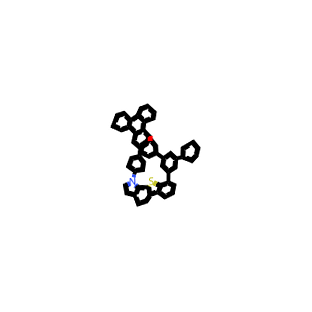 c1ccc(-c2cc(-c3ccccc3)cc(-c3cccc4c3sc3c4ccc4ccn(-c5ccc(-c6ccc7c8ccccc8c8ccccc8c7c6)cc5)c43)c2)cc1